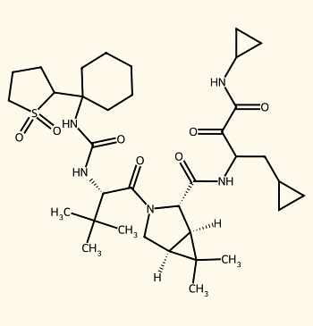 CC(C)(C)[C@H](NC(=O)NC1(C2CCCS2(=O)=O)CCCCC1)C(=O)N1C[C@H]2[C@@H]([C@H]1C(=O)NC(CC1CC1)C(=O)C(=O)NC1CC1)C2(C)C